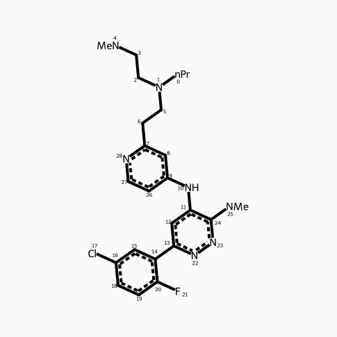 CCCN(CCNC)CCc1cc(Nc2cc(-c3cc(Cl)ccc3F)nnc2NC)ccn1